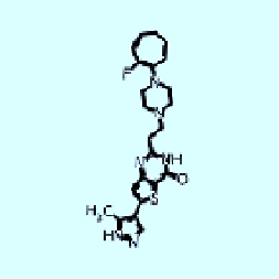 Cc1[nH]ncc1-c1cc2nc(CCN3CCN(C4=C(F)C=CCC=C4)CC3)[nH]c(=O)c2s1